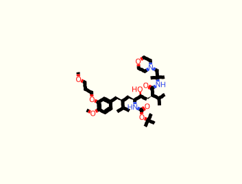 COCCCOc1cc(C[C@@H](C[C@H](NC(=O)OC(C)(C)C)[C@@H](O)C[C@H](C(=O)NC(C)(C)CN2CCOCC2)C(C)C)C(C)C)ccc1OC